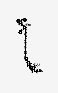 CC(C)(C)OC(=O)CN1CN(C(=O)OC(C)(C)C)c2cc(S(=O)(=O)N3CCC(c4ccc(OCCOCCOCCOCCOCCOCCOCCOc5cc(C(C)(C)C)c(NC(=O)c6cn(Cc7ccccc7)c7ccccc7c6=O)cc5OCc5ccccc5)cc4)CC3)ccc2C1=O